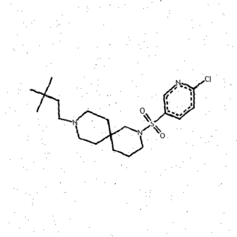 CC(C)(C)CCN1CCC2(CCCN(S(=O)(=O)c3ccc(Cl)nc3)C2)CC1